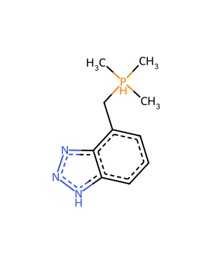 C[PH](C)(C)Cc1cccc2[nH]nnc12